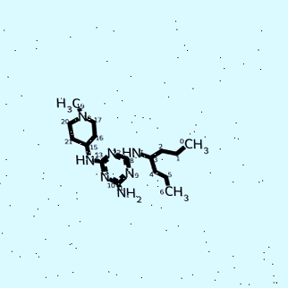 CCCC(CCC)Nc1nc(N)nc(NC2CCN(C)CC2)n1